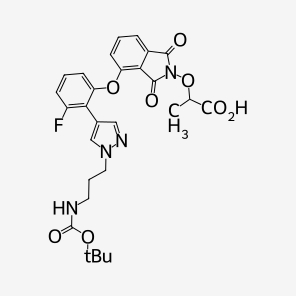 CC(ON1C(=O)c2cccc(Oc3cccc(F)c3-c3cnn(CCCNC(=O)OC(C)(C)C)c3)c2C1=O)C(=O)O